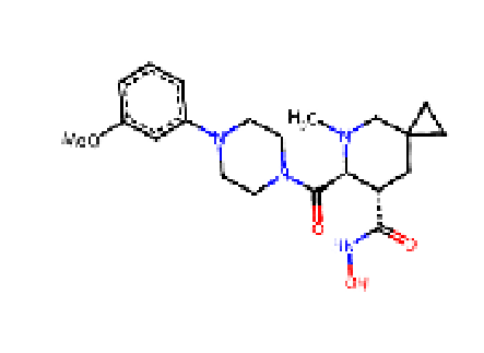 COc1cccc(N2CCN(C(=O)[C@@H]3[C@@H](C(=O)NO)CC4(CC4)CN3C)CC2)c1